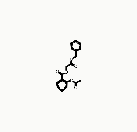 CC(=O)Oc1ccccc1C(=O)OCC(=O)OCc1ccccc1